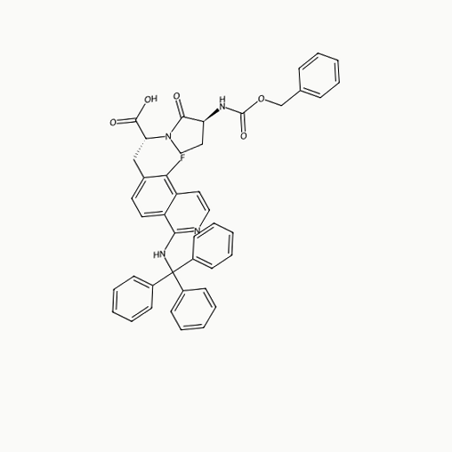 O=C(N[C@H]1CCN([C@H](Cc2ccc3c(NC(c4ccccc4)(c4ccccc4)c4ccccc4)nccc3c2F)C(=O)O)C1=O)OCc1ccccc1